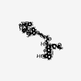 C=CC(=O)N1CCN(c2nc(NCCC(=O)N(C)CCOCCOc3ccc(-c4csc([C@@H]5CCCN5C(=O)[C@@H](NC(=O)[C@H](C)NC)C5CCCCC5)n4)c4ccccc34)cc3c(F)c(-c4cc(O)cc5ccccc45)c(Cl)cc23)CC1